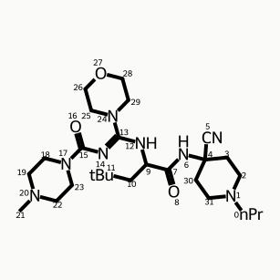 CCCN1CCC(C#N)(NC(=O)C(CC(C)(C)C)N/C(=N/C(=O)N2CCN(C)CC2)N2CCOCC2)CC1